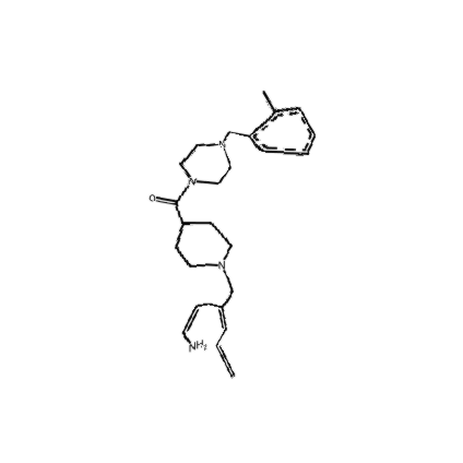 C=C/C=C(\C=C/N)CN1CCC(C(=O)N2CCN(Cc3ccccc3C)CC2)CC1